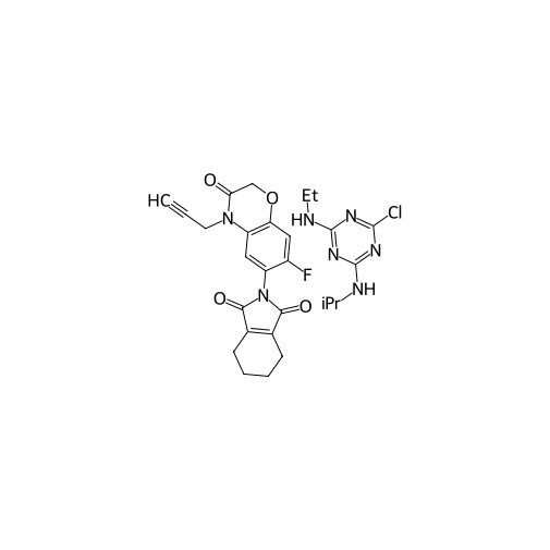 C#CCN1C(=O)COc2cc(F)c(N3C(=O)C4=C(CCCC4)C3=O)cc21.CCNc1nc(Cl)nc(NC(C)C)n1